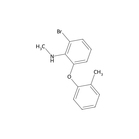 CNc1c(Br)cccc1Oc1ccccc1C